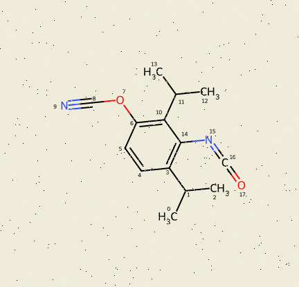 CC(C)c1ccc(OC#N)c(C(C)C)c1N=C=O